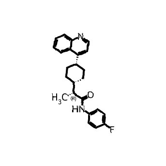 C[C@@H](C(=O)Nc1ccc(F)cc1)[C@H]1CC[C@@H](c2ccnc3ccccc32)CC1